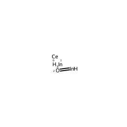 [Ce].[InH3].[O]=[InH]